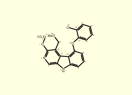 CCOC(=O)Oc1ncc2[nH]c3cccc(Oc4ccccc4Cl)c3c2c1COC